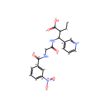 CCC(C(=O)O)C(NC(=O)CNC(=O)c1cccc([N+](=O)[O-])c1)c1cccnc1